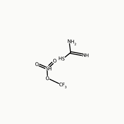 N=C(N)S.O=[SH](=O)OC(F)(F)F